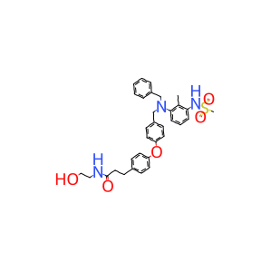 Cc1c(NS(C)(=O)=O)cccc1N(Cc1ccccc1)Cc1ccc(Oc2ccc(CCC(=O)NCCO)cc2)cc1